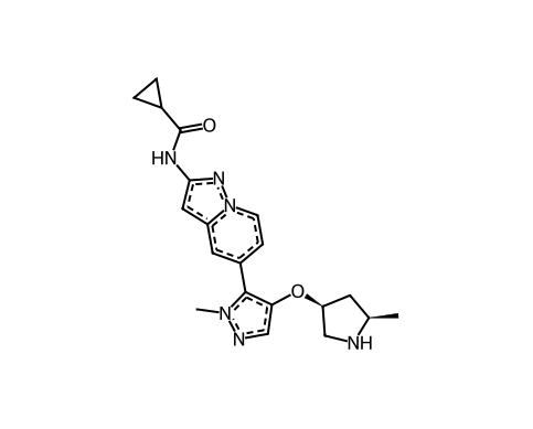 C[C@@H]1C[C@H](Oc2cnn(C)c2-c2ccn3nc(NC(=O)C4CC4)cc3c2)CN1